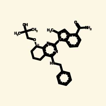 Cc1cc2c(C(N)=O)cccc2n1-c1nc(NCc2ccccc2)c2c(n1)[C@@H](OCC(C)(C)O)CCC2